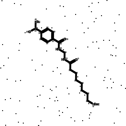 CCCCCCCCCCCCCCCCCC(=O)NCNC(=O)c1ccc([S+]([O-])CCCC)cc1